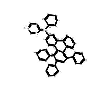 c1ccc(-c2cc(-c3ccccc3)c3c4ccccc4c4cc(N(c5ccccc5)c5ncncn5)ccc4c3c2-c2ccccc2)cc1